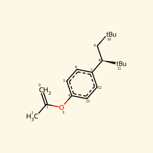 C=C(C)Oc1ccc([C@@H](CC(C)(C)C)C(C)(C)C)cc1